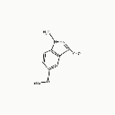 CCCCOc1ccc2c(c1)c(C=O)nn2C